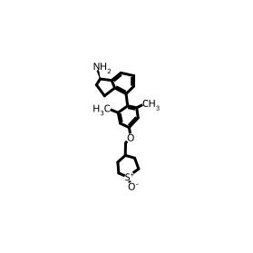 Cc1cc(OCC2CC[S+]([O-])CC2)cc(C)c1-c1cccc2c1CC[C@H]2N